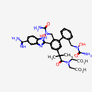 CC(C)(C(=O)N(CC(=O)O)CC(=O)O)c1cc(-c2nc3cc(C(=N)N)ccc3[nH]2)c(CN(O)C(N)=O)c(-c2ccccc2CN(O)C(N)=O)c1